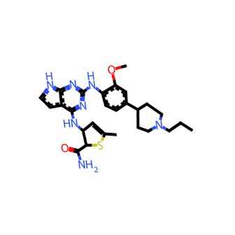 CCCN1CCC(c2ccc(Nc3nc(NC4C=C(C)SC4C(N)=O)c4cc[nH]c4n3)c(OC)c2)CC1